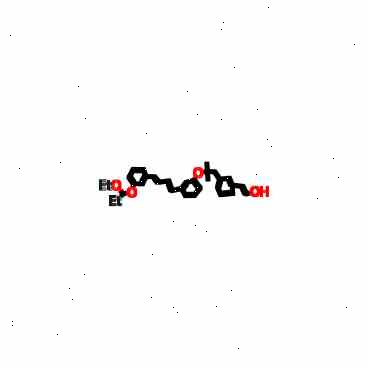 CCOC(CC)Oc1cccc(C=CC=Cc2cccc(OC(C)(C)Cc3cccc(C=CO)c3)c2)c1